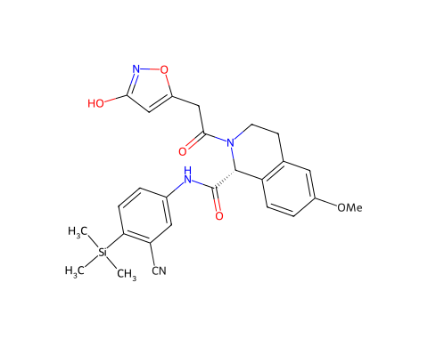 COc1ccc2c(c1)CCN(C(=O)Cc1cc(O)no1)[C@H]2C(=O)Nc1ccc([Si](C)(C)C)c(C#N)c1